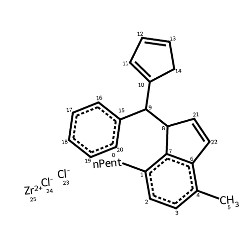 CCCCCc1ccc(C)c2c1C(C(C1=CC=CC1)c1ccccc1)C=C2.[Cl-].[Cl-].[Zr+2]